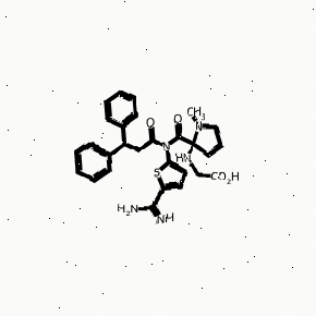 CN1CCC[C@]1(NCC(=O)O)C(=O)N(C(=O)CC(c1ccccc1)c1ccccc1)c1ccc(C(=N)N)s1